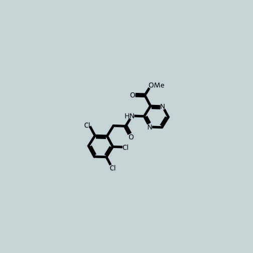 COC(=O)c1nccnc1NC(=O)Cc1c(Cl)ccc(Cl)c1Cl